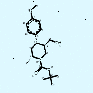 COc1ccc([C@H]2C[C@@H](C)N(C(=O)OC(C)(C)C)C[C@@H]2CO)cc1